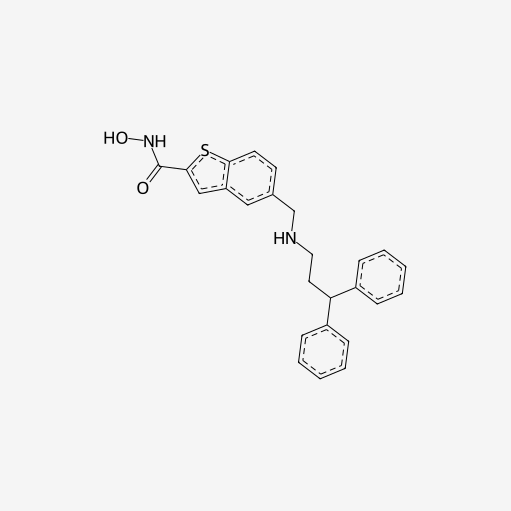 O=C(NO)c1cc2cc(CNCCC(c3ccccc3)c3ccccc3)ccc2s1